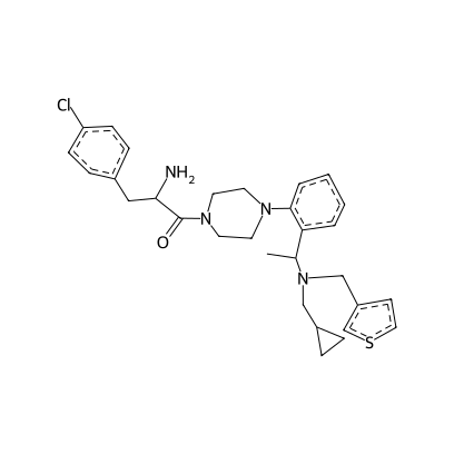 CC(c1ccccc1N1CCN(C(=O)C(N)Cc2ccc(Cl)cc2)CC1)N(Cc1ccsc1)CC1CC1